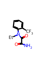 CCN(C(=O)C(N)=O)c1ccccc1C(F)(F)F